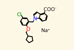 O=C([O-])c1cccc2c1ccn2Cc1cc(Cl)ccc1OCC1CCCC1.[Na+]